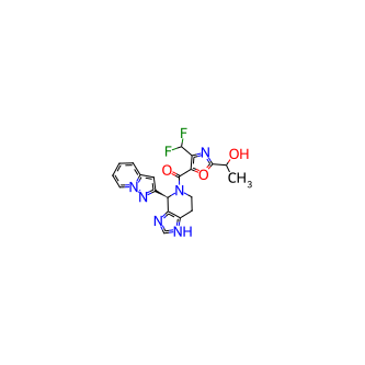 CC(O)c1nc(C(F)F)c(C(=O)N2CCc3[nH]cnc3[C@H]2c2cc3ccccn3n2)o1